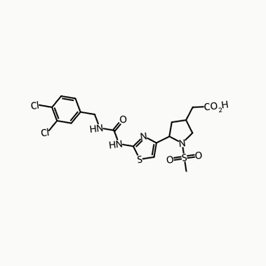 CS(=O)(=O)N1CC(CC(=O)O)CC1c1csc(NC(=O)NCc2ccc(Cl)c(Cl)c2)n1